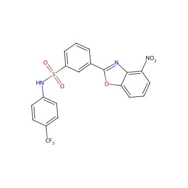 O=[N+]([O-])c1cccc2oc(-c3cccc(S(=O)(=O)Nc4ccc(C(F)(F)F)cc4)c3)nc12